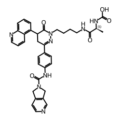 C[C@H](NC(=O)O)C(=O)NCCCCN1N=C(c2ccc(NC(=O)N3Cc4ccncc4C3)cc2)CC(c2cccc3ncccc23)C1=O